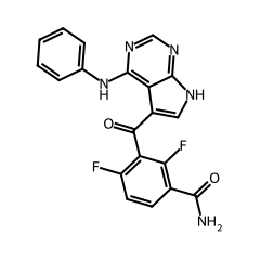 NC(=O)c1ccc(F)c(C(=O)c2c[nH]c3ncnc(Nc4ccccc4)c23)c1F